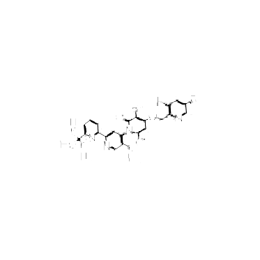 Cc1cnc(-c2cccc(C(C)(C)O)n2)cc1-n1c(C)cc(OCc2ncc(F)cc2F)c(Br)c1=O